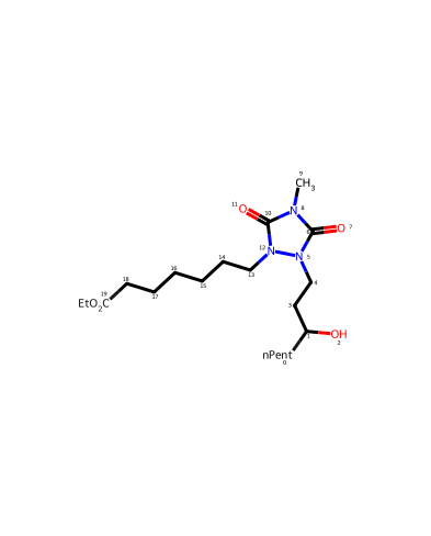 CCCCCC(O)CCn1c(=O)n(C)c(=O)n1CCCCCCC(=O)OCC